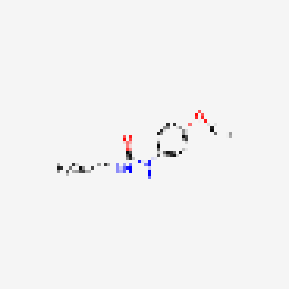 C=CCNC(=O)Nc1ccc(OC)cc1